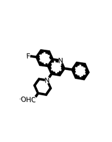 O=[C]C1CCN(c2cc(-c3ccccc3)nc3ccc(F)cc23)CC1